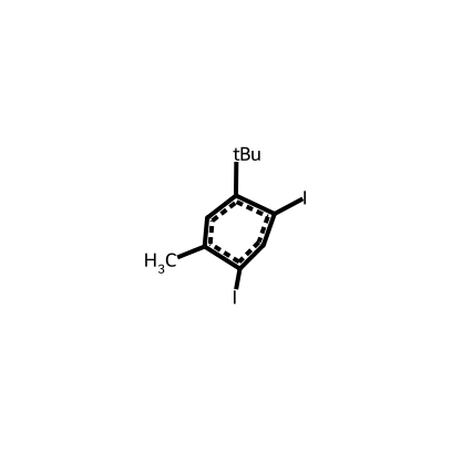 Cc1cc(C(C)(C)C)c(I)cc1I